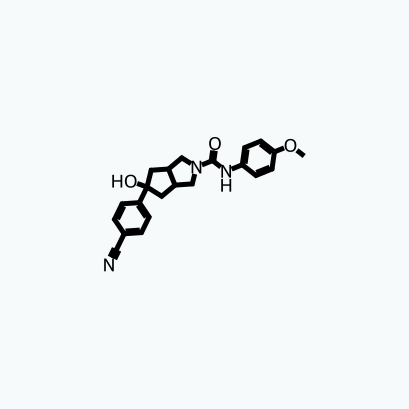 COc1ccc(NC(=O)N2CC3CC(O)(c4ccc(C#N)cc4)CC3C2)cc1